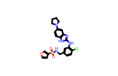 O=S(=O)(NCc1ccc(Cl)c(Nc2nc3cc(N4CCCC4)ccc3[nH]2)c1)c1ccoc1